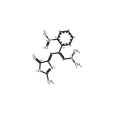 CC1=NC(=CC(=CN(C)C)c2ccccc2[N+](=O)[O-])C(=O)O1